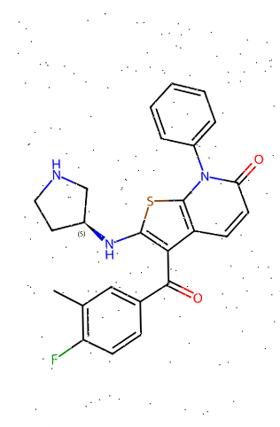 Cc1cc(C(=O)c2c(N[C@H]3CCNC3)sc3c2ccc(=O)n3-c2ccccc2)ccc1F